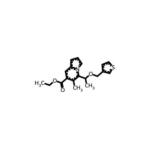 CCOC(=O)c1cc2cccn2c(C(C)OCc2ccsc2)c1C